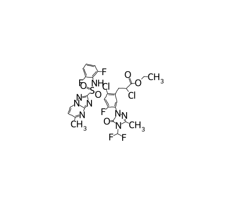 CCOC(=O)C(Cl)Cc1cc(-n2nc(C)n(C(F)F)c2=O)c(F)cc1Cl.Cc1ccn2nc(S(=O)(=O)Nc3c(F)cccc3F)nc2n1